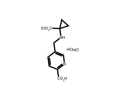 CCOC(=O)C1(NCc2ccc(C(=O)O)nc2)CC1.Cl.Cl